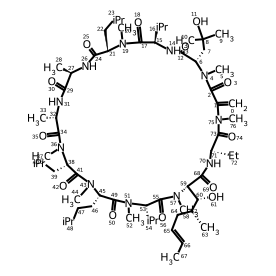 C=C1C(=O)N(C)[C@@H](CC(C)(C)O)C(=O)N[C@H](C(C)C)C(=O)N(C)[C@H](CC(C)C)C(=O)N[C@H](C)C(=O)N[C@@H](C)C(=O)N(C)[C@@H](CC(C)C)C(=O)N(C)[C@@H](CCC(C)C)C(=O)N(C)[C@@H](C(C)C)C(=O)N(C)[C@@H]([C@H](O)[C@H](C)C/C=C/C)C(=O)N[C@@H](CC)C(=O)N1C